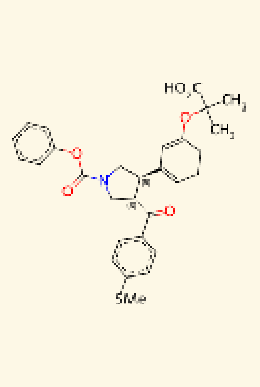 CSc1ccc(C(=O)[C@@H]2CN(C(=O)Oc3ccccc3)C[C@H]2C2=CCCC(OC(C)(C)C(=O)O)=C2)cc1